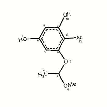 COC(C)Oc1cc(O)cc(O)c1C(C)=O